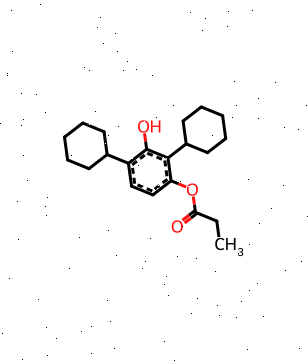 CCC(=O)Oc1ccc(C2CCCCC2)c(O)c1C1CCCCC1